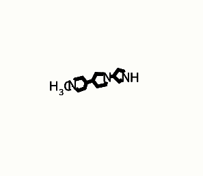 CN1CCC(C2CCN(C3CCNC3)CC2)CC1